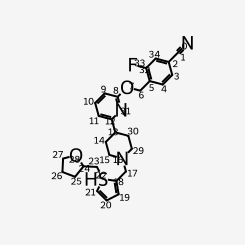 N#Cc1ccc(COc2cccc(C3CCN(CC4=CC=C[SH]4CC4CCCO4)CC3)n2)c(F)c1